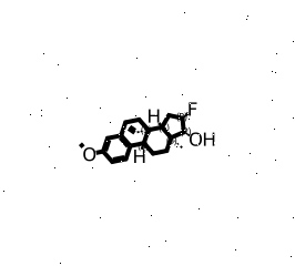 C=C[C@@]12CCc3cc(OC)ccc3[C@H]1CC[C@@]1(C)[C@H]2C[C@@H](F)[C@@H]1O